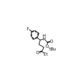 CCC(=O)CCC(NC(=O)OC(C)(C)C)c1ccc(F)cc1